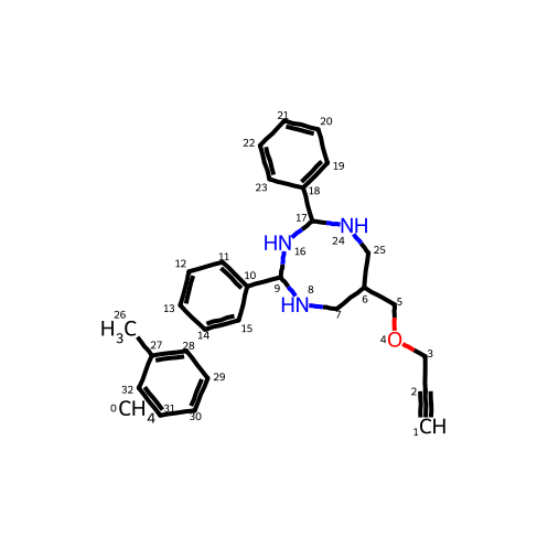 C.C#CCOCC1CNC(c2ccccc2)NC(c2ccccc2)NC1.Cc1ccccc1